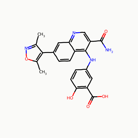 Cc1noc(C)c1-c1ccc2c(Nc3ccc(O)c(C(=O)O)c3)c(C(N)=O)cnc2c1